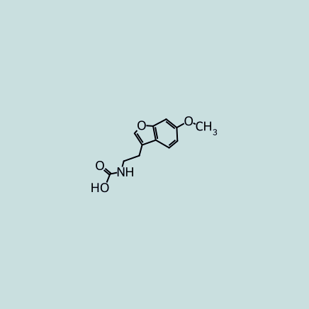 COc1ccc2c(CCNC(=O)O)coc2c1